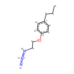 CCCc1ccc(OCCN=[N+]=[N-])cc1